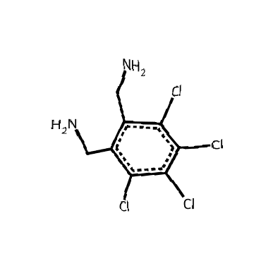 NCc1c(Cl)c(Cl)c(Cl)c(Cl)c1CN